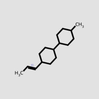 C/C=C/C1CCC(C2CCC(C)CC2)CC1